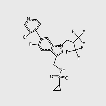 O=S(=O)(NCc1cn(CC(C(F)(F)F)C(F)(F)F)c2cc(-c3ccncc3Cl)c(F)cc12)C1CC1